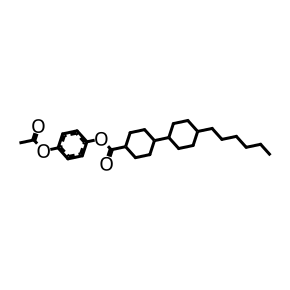 CCCCCCC1CCC(C2CCC(C(=O)Oc3ccc(OC(C)=O)cc3)CC2)CC1